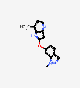 Cn1ncc2ccc(Oc3cc4nccc(C(=O)O)c4[nH]3)cc21